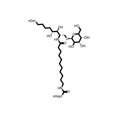 CCCCCCCCCCCCCC[C@@H](O)[C@@H](O)[C@H](CO[C@H]1OC(CO)[C@H](O)[C@H](O)C1O)NC(=O)CCCCCCCCCCNC(=O)CCCCCCC